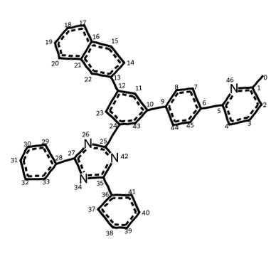 Cc1cccc(-c2ccc(-c3cc(-c4ccc5ccccc5c4)cc(-c4nc(-c5ccccc5)nc(-c5ccccc5)n4)c3)cc2)n1